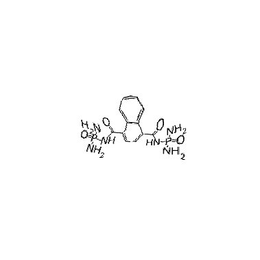 NP(N)(=O)NC(=O)c1ccc(C(=O)NP(N)(N)=O)c2ccccc12